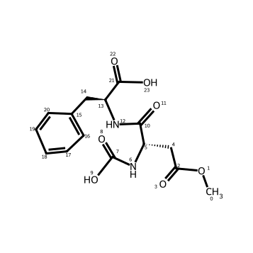 COC(=O)C[C@H](NC(=O)O)C(=O)N[C@@H](Cc1ccccc1)C(=O)O